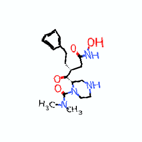 CN(C)C(=O)N1CCNC[C@H]1C(=O)[C@H](CCc1ccccc1)CC(=O)NO